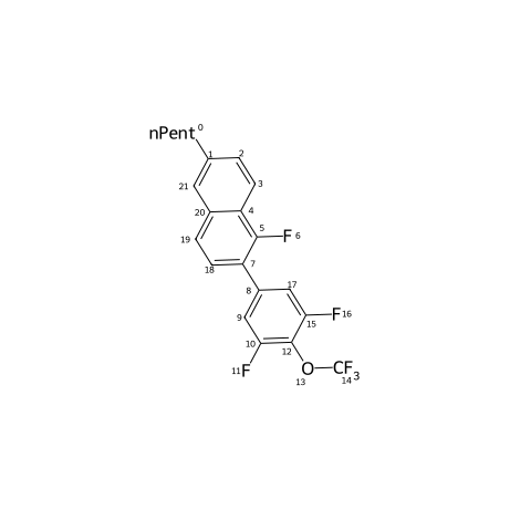 CCCCCc1ccc2c(F)c(-c3cc(F)c(OC(F)(F)F)c(F)c3)ccc2c1